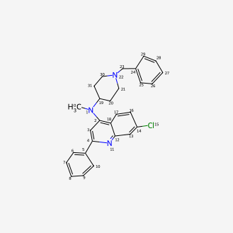 CN(c1cc(-c2ccccc2)nc2cc(Cl)ccc12)C1CCN(Cc2ccccc2)CC1